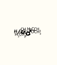 CC(C)(C)OC(=O)c1ccc(F)c(B2OC(C)(C)C(C)(C)O2)c1